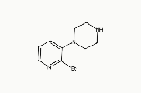 C[CH]c1ncccc1N1CCNCC1